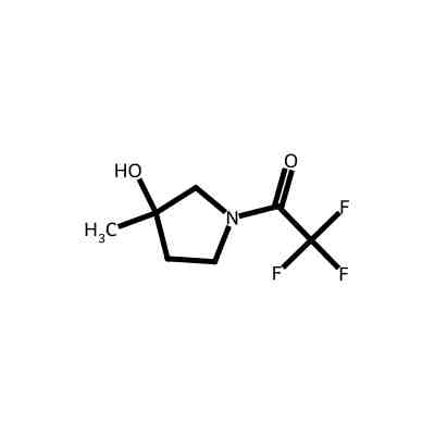 CC1(O)CCN(C(=O)C(F)(F)F)C1